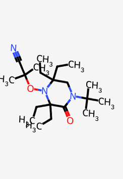 CCC1(CC)CN(C(C)(C)C)C(=O)C(CC)(CC)N1OC(C)(C)C#N